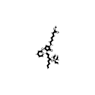 CCCC[C@@](C)(CC=C[C@H]1C(=O)[C@H](CCCCCCC(=O)OC)C[C@H]1O[C@@H]1CCCCO1)O[Si](CC)(CC)CC